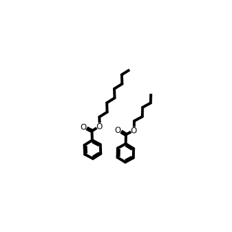 CCCCCCCCOC(=O)c1ccccc1.CCCCCOC(=O)c1ccccc1